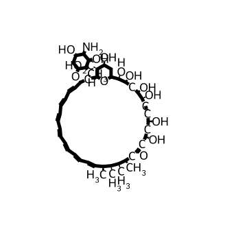 CC1C(O[C@H]2/C=C/C=C/C=C/C=C/C=C/C=C/C=C/[C@H](C)[C@@H](C)[C@@H](C)[C@H](C)CC(=O)C[C@H](O)C[C@H](O)CC[C@@H](O)[C@H](O)C[C@H](O)[C@@H](O)C3C[C@H](O)[C@@H](C(=O)O)[C@H](C2)O3)CC(O)C(N)C1O